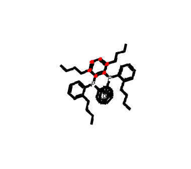 CCCCc1ccccc1P(c1ccccc1CCCC)[C]12[CH]3[CH]4[CH]5[C]1(P(c1ccccc1CCCC)c1ccccc1CCCC)[Co]43521678[CH]2[CH]1[CH]6[CH]7[CH]28